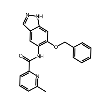 Cc1cccc(C(=O)Nc2cc3cn[nH]c3cc2OCc2ccccc2)n1